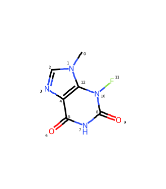 Cn1cnc2c(=O)[nH]c(=O)n(F)c21